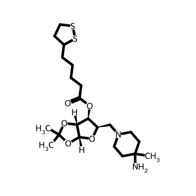 CC1(N)CCN(C[C@H]2O[C@@H]3OC(C)(C)O[C@@H]3[C@H]2OC(=O)CCCCC2CCSS2)CC1